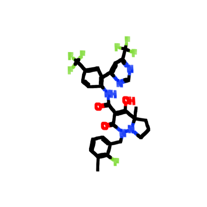 Cc1cccc(CN2C(=O)C(C(=O)Nc3ccc(C(F)(F)F)cc3-c3cc(C(F)(F)F)ncn3)=C(O)C3(C)CCCN23)c1F